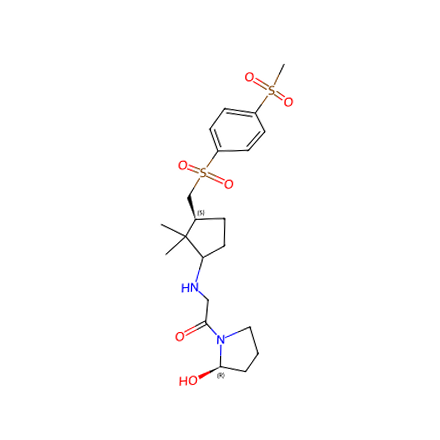 CC1(C)C(NCC(=O)N2CCC[C@H]2O)CC[C@@H]1CS(=O)(=O)c1ccc(S(C)(=O)=O)cc1